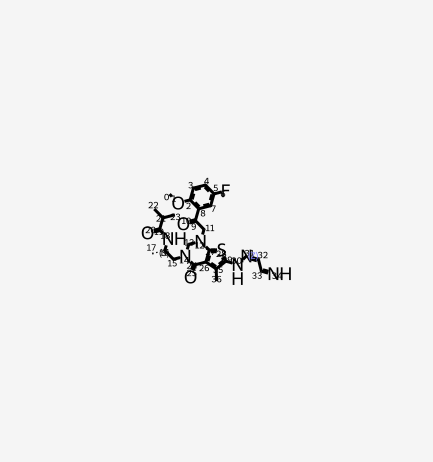 COc1ccc(F)cc1C(=O)CN1CN(C[C@H](C)NC(=O)C(C)C)C(=O)c2c1sc(N/N=C\C=N)c2C